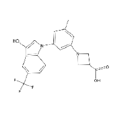 Cc1cc(N2CC(C(=O)O)C2)cc(-n2cc(O)c3cc(C(F)(F)F)ccc32)c1